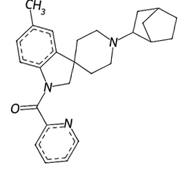 Cc1ccc2c(c1)C1(CCN(C3CC4CCC3C4)CC1)CN2C(=O)c1ccccn1